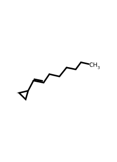 CCCCCCC=CC1[CH]C1